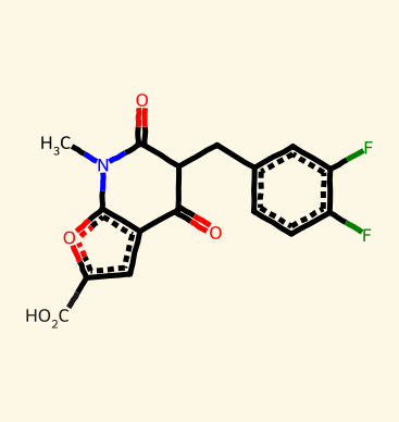 CN1C(=O)C(Cc2ccc(F)c(F)c2)C(=O)c2cc(C(=O)O)oc21